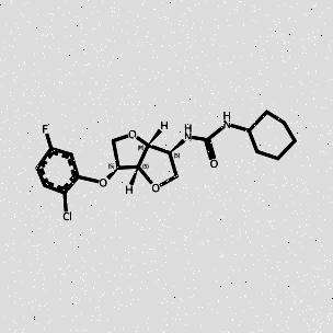 O=C(NC1CCCCC1)N[C@H]1CO[C@H]2[C@@H]1OC[C@@H]2Oc1cc(F)ccc1Cl